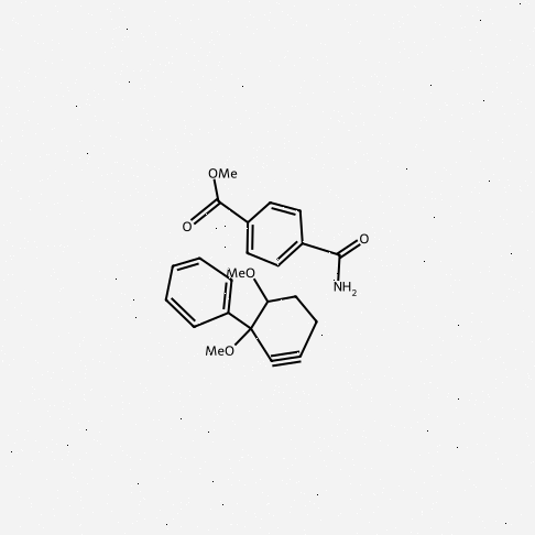 COC(=O)c1ccc(C(N)=O)cc1.COC1CCC#CC1(OC)c1ccccc1